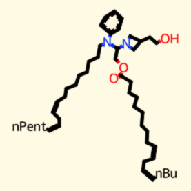 CCCC/C=C\C/C=C\CCCCCCCCC(=O)OCC(N1CC(CCO)C1)N(CCCCCCCC/C=C\C/C=C\CCCCC)c1ccccc1